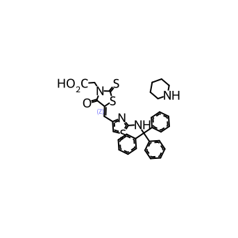 C1CCNCC1.O=C(O)CN1C(=O)/C(=C/c2csc(NC(c3ccccc3)(c3ccccc3)c3ccccc3)n2)SC1=S